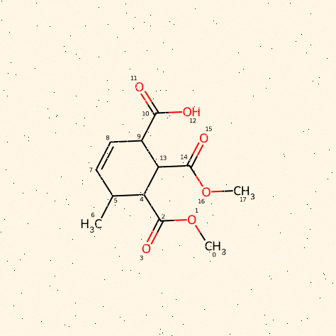 COC(=O)C1C(C)C=CC(C(=O)O)C1C(=O)OC